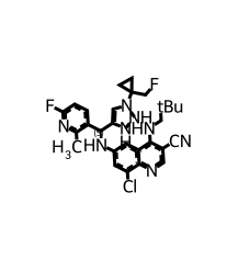 Cc1nc(F)ccc1[C@H](Nc1cc(Cl)c2ncc(C#N)c(NCC(C)(C)C)c2c1)C1=CN(C2(CF)CC2)NN1